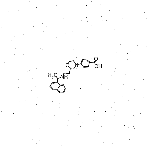 C[C@@H](NCCC1CN(c2ccc(C(=O)O)cc2)CCO1)c1cccc2ccccc12